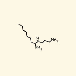 CCCCCCCC(N)NCCCN